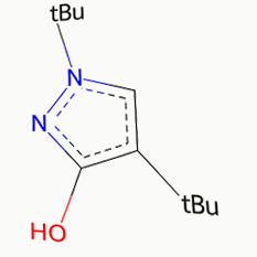 CC(C)(C)c1cn(C(C)(C)C)nc1O